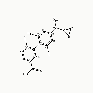 O=C(O)c1ccc(F)c(-c2c(F)cc(C(O)C3CC3)cc2F)n1